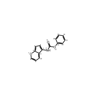 O=C(Nc1ccc2occcc1-2)Oc1ccccc1